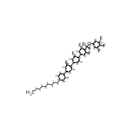 CCCCCCCCCc1ccc(-c2ccc(-c3ccc(-c4cc(F)c(C(F)(F)Oc5cc(F)c(F)c(F)c5)c(F)c4)c(F)c3)c(F)c2)cc1